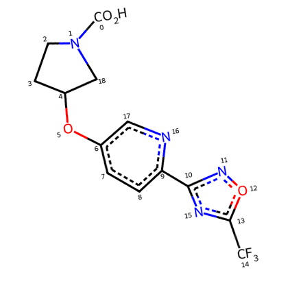 O=C(O)N1CCC(Oc2ccc(-c3noc(C(F)(F)F)n3)nc2)C1